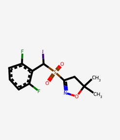 CC1(C)CC(S(=O)(=O)C(I)c2c(F)cccc2F)=NO1